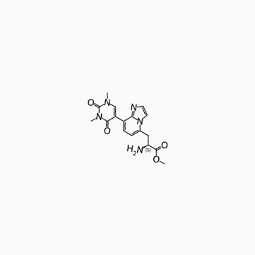 COC(=O)[C@@H](N)Cc1ccc(-c2cn(C)c(=O)n(C)c2=O)c2nccn12